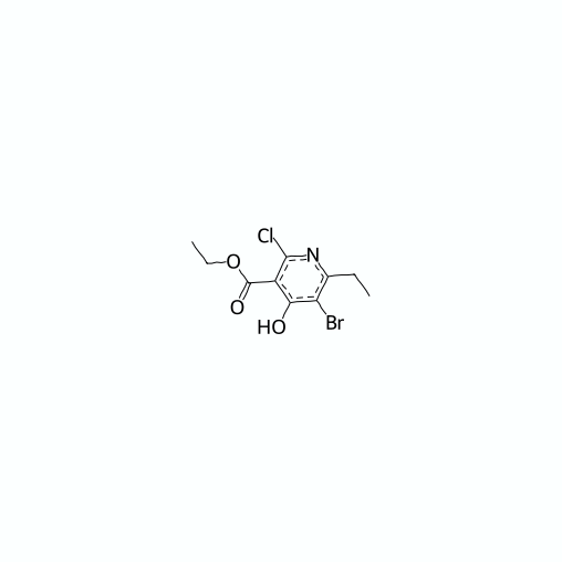 CCOC(=O)c1c(Cl)nc(CC)c(Br)c1O